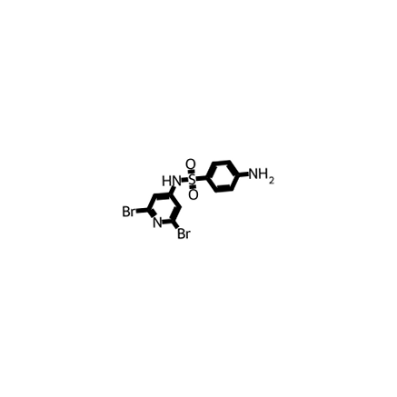 Nc1ccc(S(=O)(=O)Nc2cc(Br)nc(Br)c2)cc1